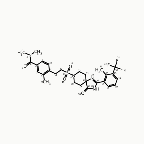 Cc1cc(C(=O)N(C)C)ccc1CCS(=O)(=O)N1CCC2(CC1)N=C(c1cccc(C(F)(F)F)c1C)NC2=O